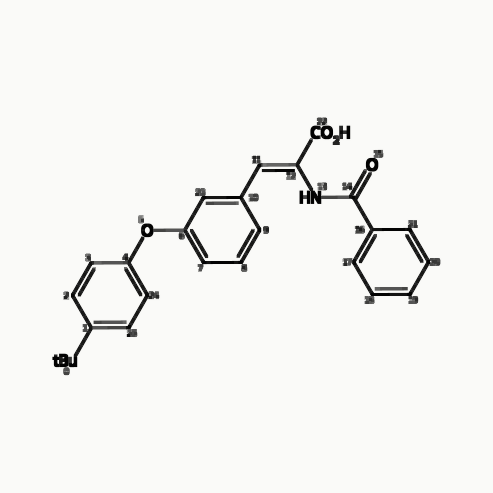 CC(C)(C)c1ccc(Oc2cccc(/C=C(\NC(=O)c3ccccc3)C(=O)O)c2)cc1